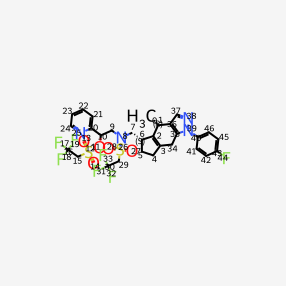 C[C@@H]1C2=C(CC[C@@H]2CN(CC(OS(=O)(=O)CC(F)(F)F)c2ccccn2)S(=O)(=O)CC(F)(F)F)Cc2c1cnn2-c1ccc(F)cc1